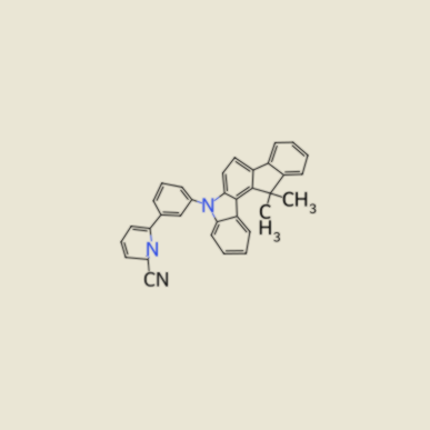 CC1(C)c2ccccc2-c2ccc3c(c21)c1ccccc1n3-c1cccc(-c2cccc(C#N)n2)c1